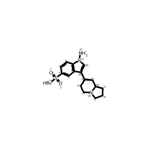 CCCCS(=O)(=O)c1ccc2c(c1)c(C1CCN3CCCC3C1)cn2N